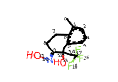 Cc1cccc2c1CC/C(=N\O)C2(O)C(F)(F)F